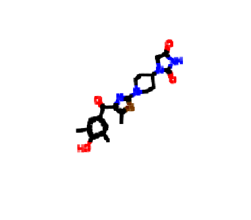 Cc1cc(C(=O)c2nc(N3CCC(N4CC(=O)NC4=O)CC3)sc2C)cc(C)c1O